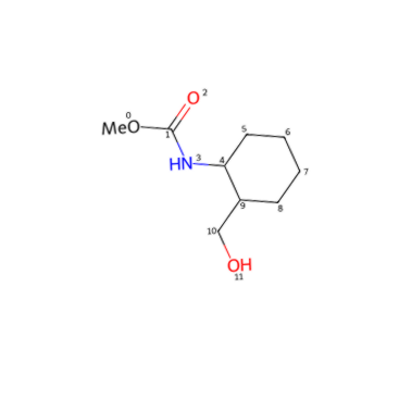 COC(=O)NC1CCCCC1CO